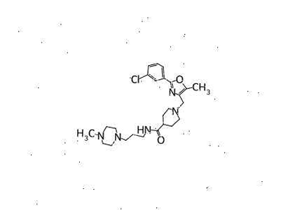 Cc1oc(-c2cccc(Cl)c2)nc1CN1CCC(C(=O)NCCCN2CCN(C)CC2)CC1